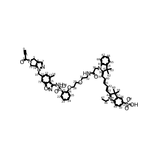 C#CC(=O)N1Cc2cnn(Cc3cc(C)c4c(NS(=O)(=O)c5ccccc5OCCOCCNC(=O)CN5/C(=C/C=C/C=C/C6=[N+](CC)c7ccc(S(=O)(=O)O)cc7C6(C)C)C(C)(C)c6ccccc65)noc4c3)c2C1